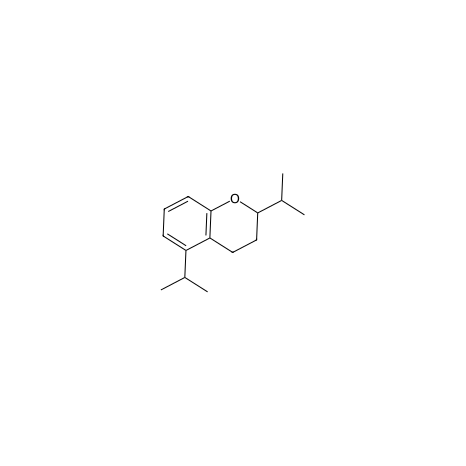 CC(C)c1cccc2c1CCC(C(C)C)O2